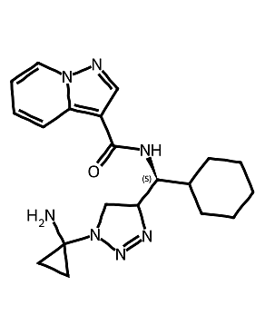 NC1(N2CC([C@@H](NC(=O)c3cnn4ccccc34)C3CCCCC3)N=N2)CC1